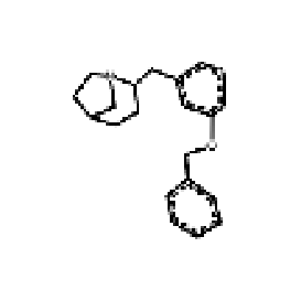 c1ccc(COc2cncc(CC3CCC4CCN3C4)c2)cc1